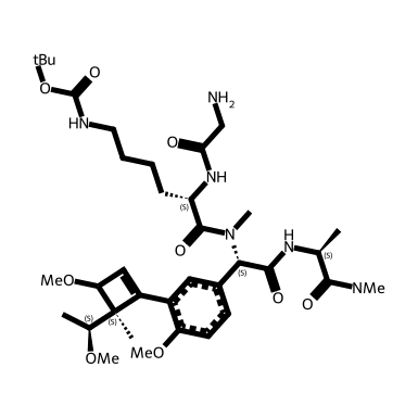 CNC(=O)[C@H](C)NC(=O)[C@H](c1ccc(OC)c(C2=CC(OC)[C@]2(C)[C@H](C)OC)c1)N(C)C(=O)[C@H](CCCCNC(=O)OC(C)(C)C)NC(=O)CN